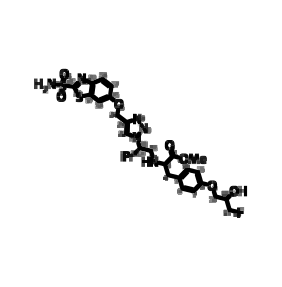 COC(=O)C(Cc1ccc(OCC(O)CF)cc1)NC[C@@H](C(C)C)n1cc(COc2ccc3nc(S(N)(=O)=O)sc3c2)nn1